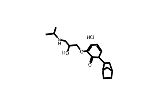 CC(C)NCC(O)COC1=CC=CC(C2CC3CCC2C3)C1=O.Cl